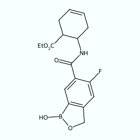 CCOC(=O)C1CC=CCC1NC(=O)c1cc2c(cc1F)COB2O